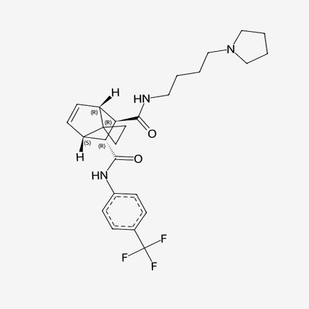 O=C(NCCCCN1CCCC1)[C@H]1[C@H](C(=O)Nc2ccc(C(F)(F)F)cc2)[C@@H]2C=C[C@H]1C21CC1